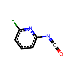 O=C=Nc1cccc(F)n1